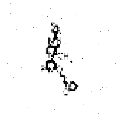 CC1c2cnc(-c3cscn3)nc2CCN1c1cc(F)nc(OCCCN2CCCC2=O)c1